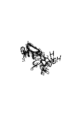 CCOc1cc(C(CC(=O)NO)N2Cc3cccc(NC(C)=O)c3C2=O)ccc1OC(F)F